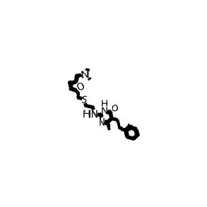 Cc1nc(NCCSCc2ccc(CN(C)C)o2)[nH]c(=O)c1CCc1ccccc1